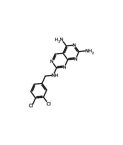 Nc1nc(N)c2cnc(NCc3ccc(Cl)c(Cl)c3)nc2n1